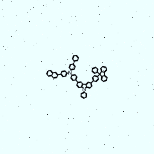 c1ccc(-c2ccc(N(c3ccc(-c4ccc5ccccc5c4)cc3)c3ccc(-c4ccc5c(c4)c4cc(-c6ccc(C7(c8ccccc8)c8ccccc8-c8ccccc87)cc6)ccc4n5-c4ccccc4)cc3)cc2)cc1